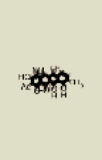 CC(=O)C1=C(O)[C@@H](N)[C@H]2Cc3c(c(O)c4c(O)c(C)ccc4c3C)C(=O)[C@@]2(O)C1=O